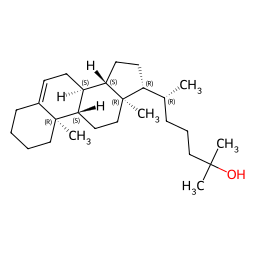 C[C@H](CCCC(C)(C)O)[C@H]1CC[C@H]2[C@@H]3CC=C4CCCC[C@]4(C)[C@H]3CC[C@]12C